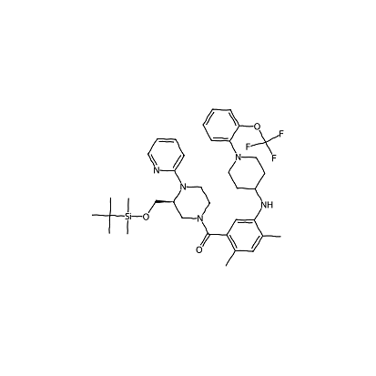 Cc1cc(C)c(C(=O)N2CCN(c3ccccn3)[C@H](CO[Si](C)(C)C(C)(C)C)C2)cc1NC1CCN(c2ccccc2OC(F)(F)F)CC1